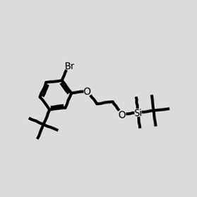 CC(C)(C)c1ccc(Br)c(OCCO[Si](C)(C)C(C)(C)C)c1